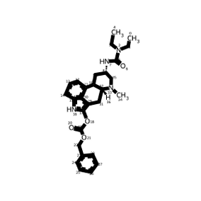 CCN(CC)C(=O)N[C@H]1CC2c3cccc4[nH]c(OC(=O)OCc5ccccc5)c(c34)C[C@H]2N(C)C1